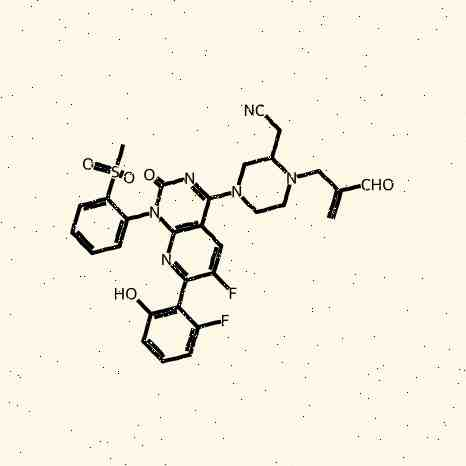 C=C(C=O)CN1CCN(c2nc(=O)n(-c3ccccc3S(C)(=O)=O)c3nc(-c4c(O)cccc4F)c(F)cc23)CC1CC#N